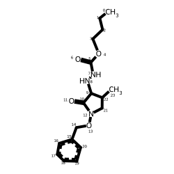 CCCCOC(=O)NNC1C(=O)N(OCc2ccccc2)CC1C